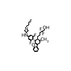 C[C@H]1Cc2c(oc3ccccc23)[C@H](c2c(F)cc(NC3CN(CCCF)C3)cc2F)C1CCCC(F)(F)CO